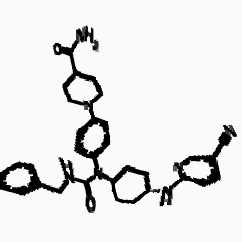 N#Cc1ccc(N[C@H]2CC[C@H](N(C(=O)NCc3ccccc3)c3ccc(N4CCC(C(N)=O)CC4)cc3)CC2)nc1